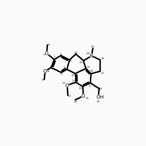 COc1cc2c(cc1OC)-c1c(OC)c(OC)c(CO)c3c1C(C2)N(C)CC3